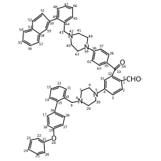 O=[C]c1ccc(N2CCN(Cc3ccccc3-c3ccc(Oc4ccccc4)cc3)CC2)cc1C(=O)c1ccc(N2CCN(Cc3ccccc3-c3ccc4ccccc4c3)CC2)cc1